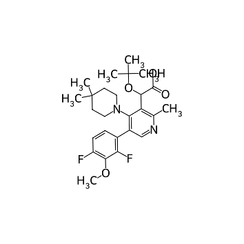 COc1c(F)ccc(-c2cnc(C)c(C(OC(C)(C)C)C(=O)O)c2N2CCC(C)(C)CC2)c1F